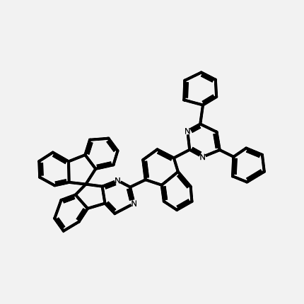 c1ccc(-c2cc(-c3ccccc3)nc(-c3ccc(-c4ncc5c(n4)C4(c6ccccc6-c6ccccc64)c4ccccc4-5)c4ccccc34)n2)cc1